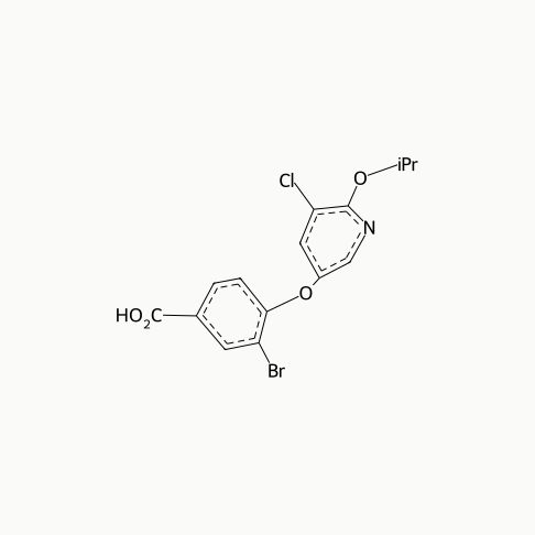 CC(C)Oc1ncc(Oc2ccc(C(=O)O)cc2Br)cc1Cl